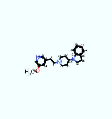 COc1cncc(CCN2CCC(N3CCc4ccccc43)CC2)c1